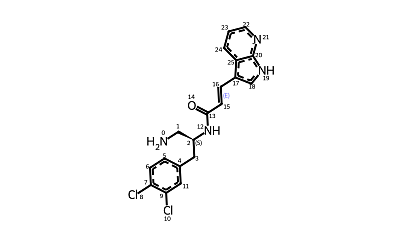 NC[C@H](Cc1ccc(Cl)c(Cl)c1)NC(=O)/C=C/c1c[nH]c2ncccc12